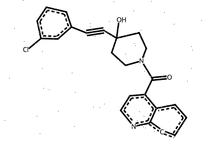 O=C(c1ccnc2ccccc12)N1CCC(O)(C#Cc2cccc(Cl)c2)CC1